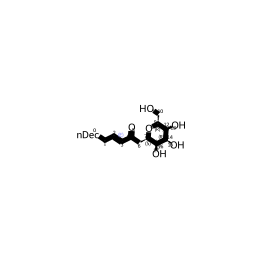 CCCCCCCCCCC/C=C/C(=O)C[C@@H]1O[C@H](CO)[C@@H](O)[C@H](O)[C@H]1O